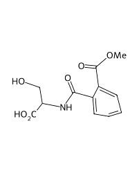 COC(=O)c1ccccc1C(=O)NC(CO)C(=O)O